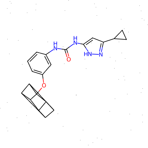 O=C(Nc1cccc(OC23C4C5C6C4C2C6C53)c1)Nc1cc(C2CC2)n[nH]1